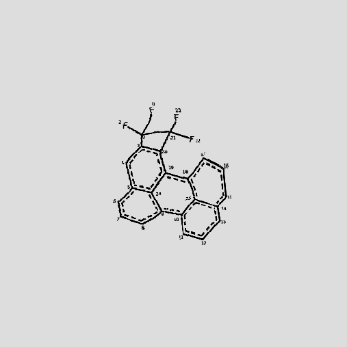 FC1(F)c2cc3cccc4c5cccc6cccc(c(c2C1(F)F)c34)c65